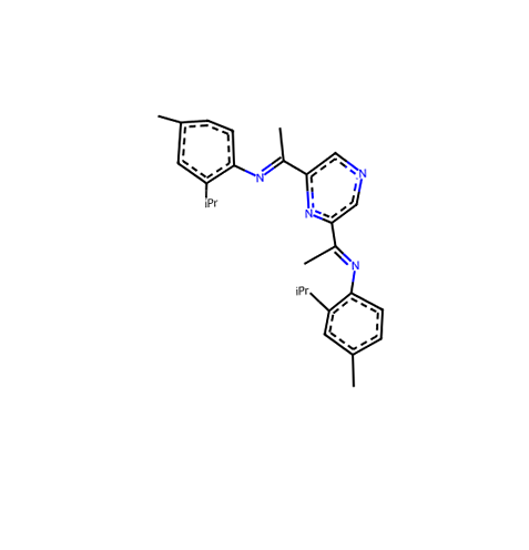 CC(=Nc1ccc(C)cc1C(C)C)c1cncc(C(C)=Nc2ccc(C)cc2C(C)C)n1